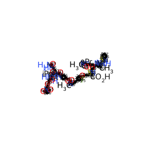 CCC[N+](C)(C)CC(O)CCCC(CCc1nc(C(=O)O)c(CCCOc2ccc(C#CCN(C)C(=O)OCc3ccc(NC(=O)[C@H](CCCNC(N)=O)NC(=O)C(CC)(NC(=O)CCOCCN4C(=O)C=CC4=O)C(C)C)cc3)cc2F)s1)c1cc(C)c(Nc2nc3ccccc3s2)nn1